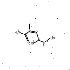 CCCCNC(C=C(C)C(N)=O)CC